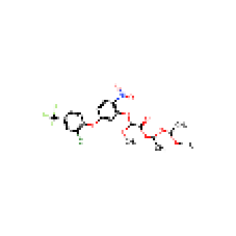 COC(C)OC(C)OC(=O)C(OC)Oc1cc(Oc2ccc(C(F)(F)F)cc2Cl)ccc1[N+](=O)[O-]